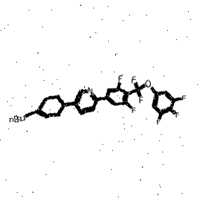 CCCCC1CCC(c2ccc(-c3cc(F)c(C(F)(F)Oc4cc(F)c(F)c(F)c4)c(F)c3)nc2)CC1